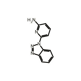 Nc1cccc(-n2nnc3ccccc32)n1